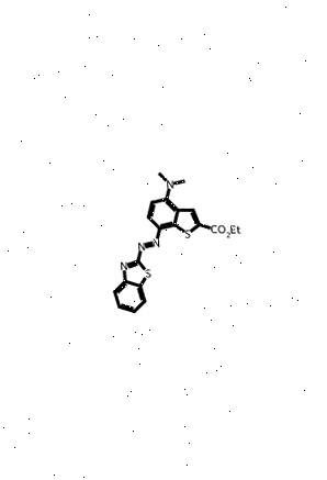 CCOC(=O)c1cc2c(N(C)C)ccc(/N=N/c3nc4ccccc4s3)c2s1